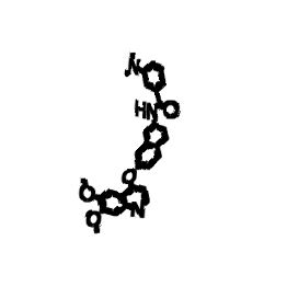 COc1cc2nccc(Oc3ccc4ccc(NC(=O)c5cccc(N(C)C)c5)cc4c3)c2cc1OC